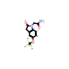 NC(=O)CN1C(=O)Cc2cc(OC(F)(F)F)ccc21